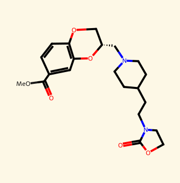 COC(=O)c1ccc2c(c1)O[C@@H](CN1CCC(CCN3CCOC3=O)CC1)CO2